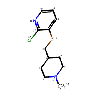 O=C(O)N1CCC(CSc2cccnc2Cl)CC1